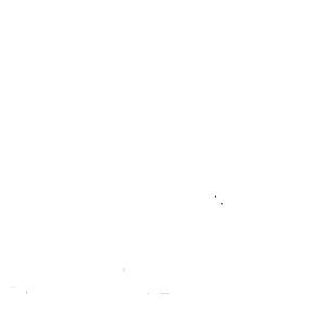 O[C@H](CCC(F)(F)F)c1ccc(-c2ccc(C(F)(F)F)cc2)nc1